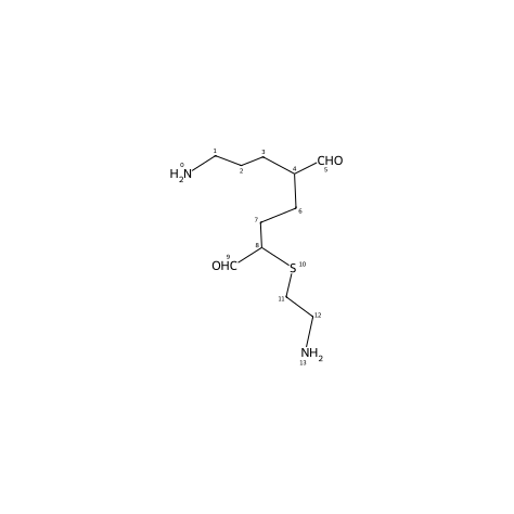 NCCCC(C=O)CCC(C=O)SCCN